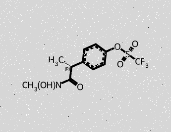 C[C@@H](C(=O)N(C)O)c1ccc(OS(=O)(=O)C(F)(F)F)cc1